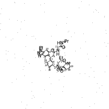 CC[C@@H]1CN(Cc2cc([C@H](CC(=O)NCC(=O)NC(C)C)c3ccc4c(nnn4CC)c3C)ccc2C)S(=O)(=O)c2cccnc2O1